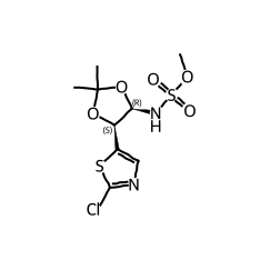 COS(=O)(=O)N[C@@H]1OC(C)(C)O[C@@H]1c1cnc(Cl)s1